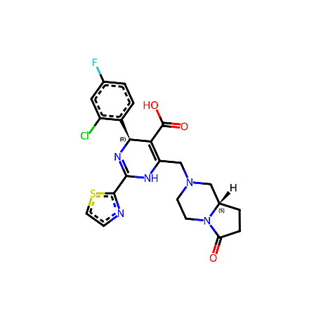 O=C(O)C1=C(CN2CCN3C(=O)CC[C@H]3C2)NC(c2nccs2)=N[C@H]1c1ccc(F)cc1Cl